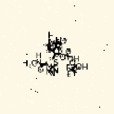 CNC(=O)Cn1nnnc1SCC1=C(OC(=O)O)N2C(=O)[C@H]3NCCC1[C@H]32.O=C(O)C(F)(F)F